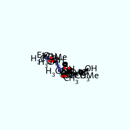 CCC(=O)[C@H](C)/C=C(\C)[C@@H](O)[C@@H](OC)C(=O)[C@H](C)C[C@H](C)/C=C/C=C/C=C(\C)C(C[C@@H]1CC[C@@H](C)[C@](O)(C(=O)C(=O)N2CCCC[C@H]2C(=O)OC[C@H](C)C[C@@H]2CC[C@@H](OCCO)[C@H](OC)C2)O1)OC[C@H](O)c1ccccc1